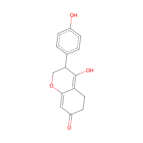 O=C1C=C2OCC(c3ccc(O)cc3)C(O)=C2CC1